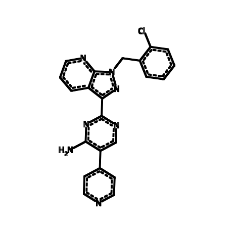 Nc1nc(-c2nn(Cc3ccccc3Cl)c3ncccc23)ncc1-c1ccncc1